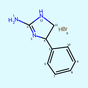 Br.NC1=NC(c2ccccc2)CN1